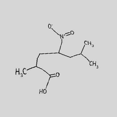 CC(C)CC(CC(C)C(=O)O)[N+](=O)[O-]